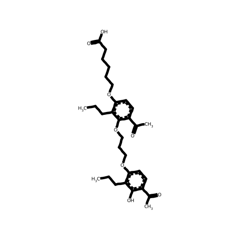 CCCc1c(OCCCOc2c(C(C)=O)ccc(OCCCCCC(=O)O)c2CCC)ccc(C(C)=O)c1O